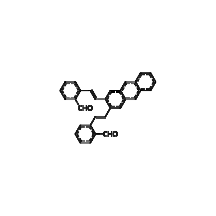 O=Cc1ccccc1C=Cc1cc2cc3ccccc3cc2cc1C=Cc1ccccc1C=O